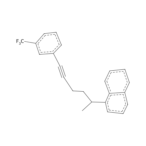 CC(CCC#Cc1cccc(C(F)(F)F)c1)c1cccc2ccccc12